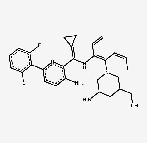 C=C/C(NC(=C1CC1)c1nc(-c2c(F)cccc2F)ccc1N)=C(\C=C/C)N1CC(N)CC(CO)C1